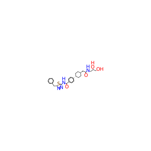 O=C(C[C@H]1CC[C@H](c2ccc(C(=O)Nc3nnc(Cc4ccccc4)s3)cc2)CC1)NCC(O)CO